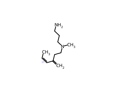 C=C(/C=C\C)CCN(C)CCCN